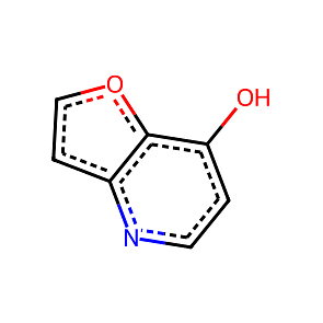 Oc1ccnc2ccoc12